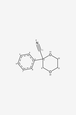 N#CC1(c2ccccc2)COCCO1